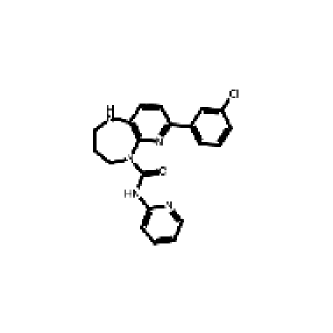 O=C(Nc1ccccn1)N1CCCNc2ccc(-c3cccc(Cl)c3)nc21